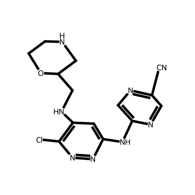 N#Cc1cnc(Nc2cc(NCC3CNCCO3)c(Cl)nn2)cn1